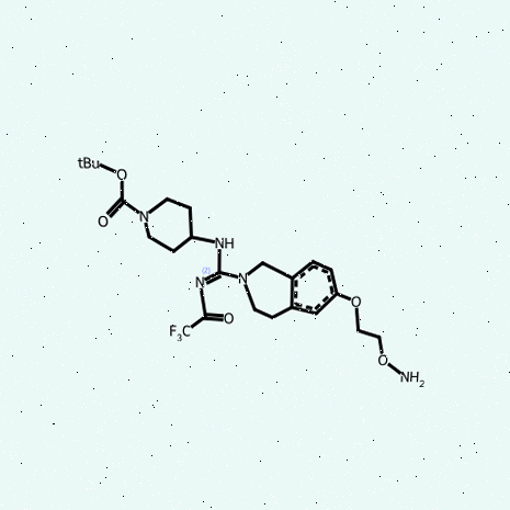 CC(C)(C)OC(=O)N1CCC(N/C(=N/C(=O)C(F)(F)F)N2CCc3cc(OCCON)ccc3C2)CC1